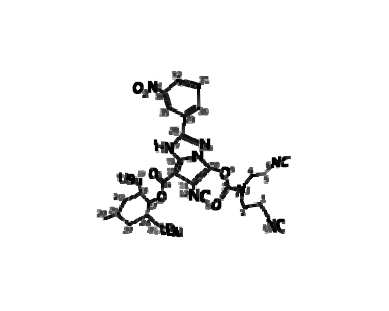 [C-]#[N+]CCN(CC[N+]#[C-])C(=O)Oc1c([N+]#[C-])c(C(=O)OC2C(C(C)(C)C)CC(C)CC2C(C)(C)C)c2[nH]c(-c3cccc([N+](=O)[O-])c3)nn12